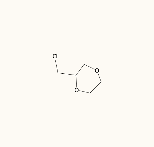 ClCC1COCCO1